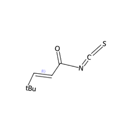 CC(C)(C)/C=C/C(=O)N=C=S